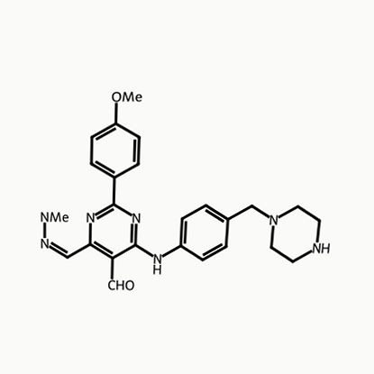 CN/N=C\c1nc(-c2ccc(OC)cc2)nc(Nc2ccc(CN3CCNCC3)cc2)c1C=O